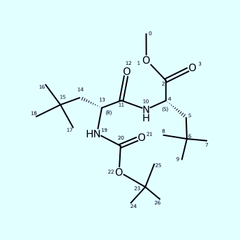 COC(=O)[C@H](CC(C)(C)C)NC(=O)[C@@H](CC(C)(C)C)NC(=O)OC(C)(C)C